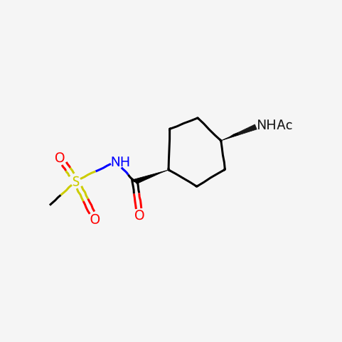 CC(=O)N[C@H]1CC[C@@H](C(=O)NS(C)(=O)=O)CC1